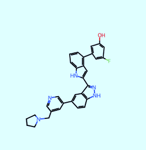 Oc1cc(F)cc(-c2cccc3[nH]c(-c4n[nH]c5ccc(-c6cncc(CN7CCCC7)c6)cc45)cc23)c1